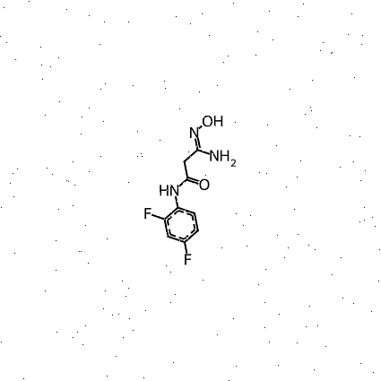 N/C(CC(=O)Nc1ccc(F)cc1F)=N\O